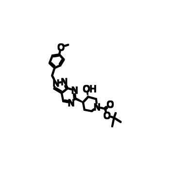 COc1ccc(Cn2cc3cnc([C@@H]4CCN(C(=O)OC(C)(C)C)C[C@H]4O)nc3n2)cc1